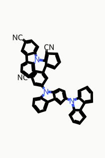 N#Cc1cc(-c2cccc(C#N)c2-n2c3ccccc3c3cc(C#N)ccc32)cc(-n2c3ccccc3c3cc(-n4c5ccccc5c5ccccc54)ccc32)c1